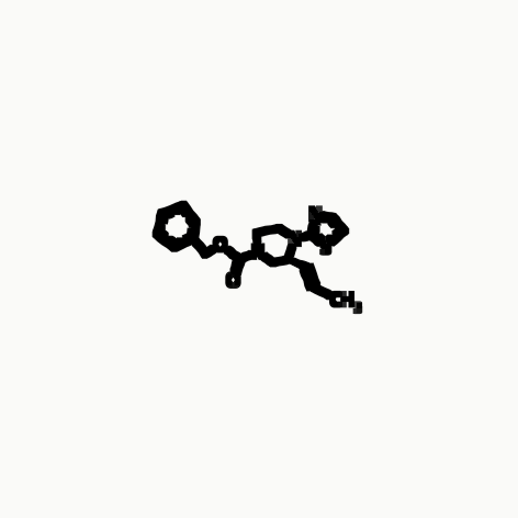 CC#C[C@H]1CN(C(=O)OCc2ccccc2)CCN1c1nccs1